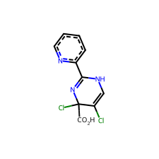 O=C(O)C1(Cl)N=C(c2ccccn2)NC=C1Cl